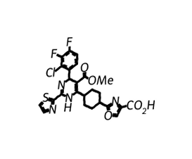 COC(=O)C1=C(C2CCC(c3nc(C(=O)O)co3)CC2)NC(c2nccs2)=NC1c1ccc(F)c(F)c1Cl